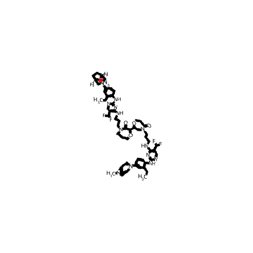 CCc1cc(N2CC3CC2CN3C)ccc1Nc1ncc(C(F)F)c(NCCCN2CC(C3OCCCN(CCCNc4nc(Nc5ccc(N6C[C@H]7CC[C@@H](C6)N7C)cc5CC)ncc4C(F)F)C3=O)OCCC2=O)n1